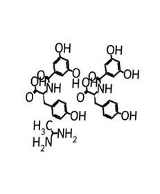 CC(N)N.O=C(N[C@@H](Cc1ccc(O)cc1)C(=O)O)c1cc(O)cc(O)c1.O=C(N[C@@H](Cc1ccc(O)cc1)C(=O)O)c1cc(O)cc(O)c1